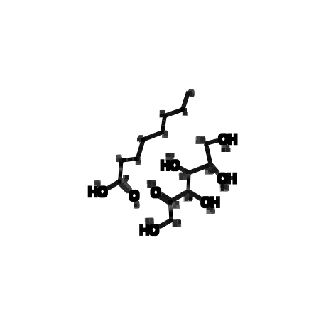 CCCCCCCC(=O)O.O=C(CO)C(O)C(O)C(O)CO